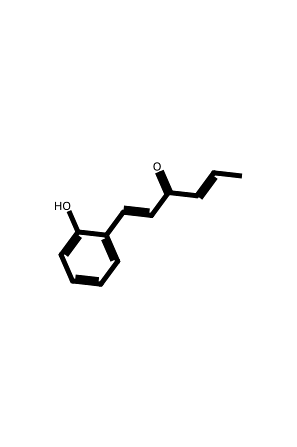 CC=CC(=O)C=Cc1ccccc1O